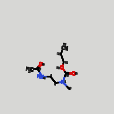 CN(CCNC(=O)C(F)(F)F)C(=O)OCCC#N